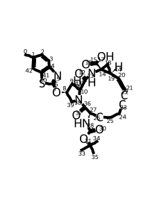 Cc1ccc2nc(O[C@@H]3C[C@H]4C(=O)N[C@]5(C(=O)O)C[C@H]5/C=C\CCCCC[C@H](NC(=O)OC(C)(C)C)C(=O)N4C3)sc2c1